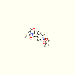 CCC(=O)N1c2cc3c(cc2OC[C@H]1C)CCN(C(=O)OC(C)(C)C)CC3